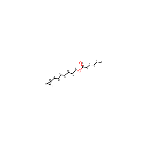 CCCCCC(=O)OCCCCCCCC1CC1